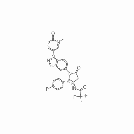 Cn1cc(-n2ncc3cc(N4C(=O)C[C@@H](NC(=O)C(C)(F)F)[C@@H]4c4ccc(F)cc4)ccc32)ccc1=O